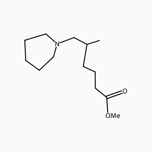 COC(=O)CCCC(C)CN1CCCCC1